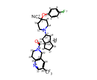 N#CC1(Oc2ccc(F)cc2)CCN([C@H]2C[C@H]3CCC[C@@]3(C(=O)N3CCc4ncc(C(F)(F)F)cc4C3)C2)CC1